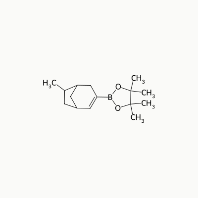 CC1CC2C=C(B3OC(C)(C)C(C)(C)O3)CC1C2